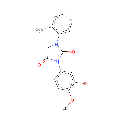 CCOc1ccc(N2C(=O)CN(c3ccccc3[N+](=O)[O-])C2=O)cc1Br